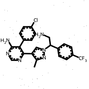 Cc1nn(C(CN)c2ccc(C(F)(F)F)cc2)cc1-c1ncnc(N)c1-c1ccc(Cl)cc1